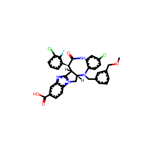 COCc1cccc(CN2c3ccc(Cl)cc3NC(=O)[C@H](c3cccc(Cl)c3F)[C@H]3c4nc5cc(C(=O)O)ccc5n4C[C@H]32)c1